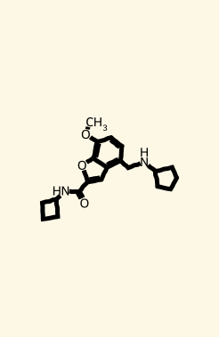 COc1ccc(CNC2CCCC2)c2cc(C(=O)NC3CCC3)oc12